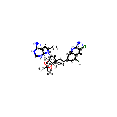 Cc1cc2c(N)ncnc2n1[C@@H]1C[C@](C)(CCc2cc(F)c3cc(Cl)c(N)nc3c2)[C@H]2OC(C)(C)O[C@@H]12